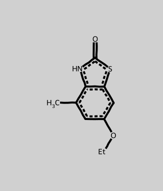 CCOc1cc(C)c2[nH]c(=O)sc2c1